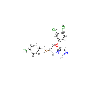 Clc1ccc(CSC(COc2ccc(Cl)c(Cl)c2)Cn2ccnc2)cc1